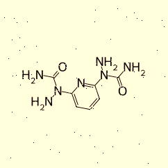 NC(=O)N(N)c1cccc(N(N)C(N)=O)n1